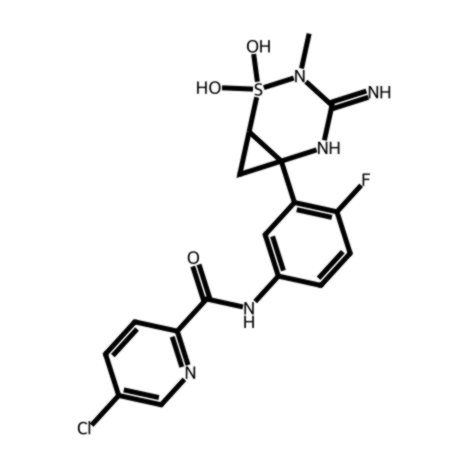 CN1C(=N)NC2(c3cc(NC(=O)c4ccc(Cl)cn4)ccc3F)CC2S1(O)O